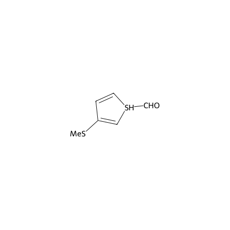 CSC1=C[SH](C=O)C=C1